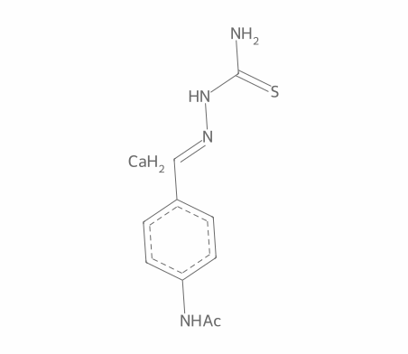 CC(=O)Nc1ccc(C=NNC(N)=S)cc1.[CaH2]